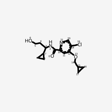 O=C(NC(CCO)C1CC1)c1cc(OCC2CC2)c(Cl)cn1